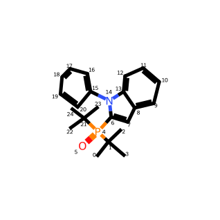 CC(C)(C)P(=O)(c1cc2ccccc2n1-c1ccccc1)C(C)(C)C